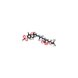 CC(=O)Oc1cc(C)c2c(c1)C=CC(C)(CC/C=C(\C)CC/C=C(/CCCC=C(C)C)C(=O)O)O2